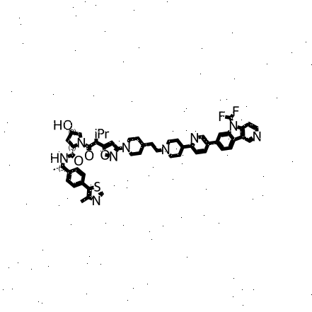 Cc1ncsc1-c1ccc([C@H](C)NC(=O)[C@@H]2C[C@@H](O)CN2C(=O)C(c2cc(N3CCC(CCN4CCC(c5ccc(-c6ccc7c8cnccc8n(C(F)F)c7c6)cn5)CC4)CC3)no2)C(C)C)cc1